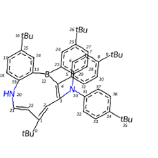 CC(C)(C)C1=C\C2=C(c3ccc(C(C)(C)C)cc3)B(c3cc(C(C)(C)C)ccc3N\C=C\1)c1cc(C(C)(C)C)ccc1N2c1ccc(C(C)(C)C)cc1